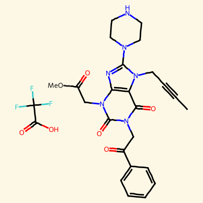 CC#CCn1c(N2CCNCC2)nc2c1c(=O)n(CC(=O)c1ccccc1)c(=O)n2CC(=O)OC.O=C(O)C(F)(F)F